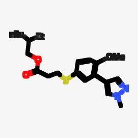 CCCCC(CC)COC(=O)CCSc1ccc(OC)c(-c2cnn(C)c2)c1